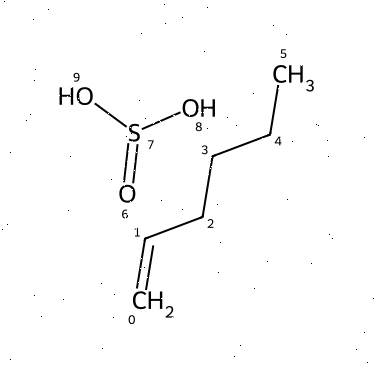 C=CCCCC.O=S(O)O